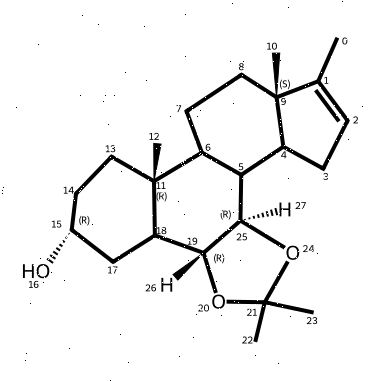 CC1=CCC2C3C(CC[C@]12C)[C@@]1(C)CC[C@@H](O)CC1[C@H]1OC(C)(C)O[C@H]31